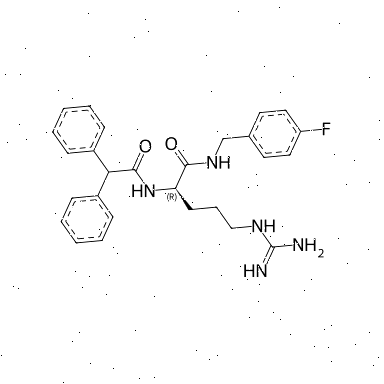 N=C(N)NCCC[C@@H](NC(=O)C(c1ccccc1)c1ccccc1)C(=O)NCc1ccc(F)cc1